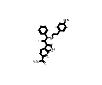 CNC(=O)c1ccc2c(C(=O)[C@@H](NCCc3ccc(C#N)cc3)c3ccccc3)c[nH]c2n1